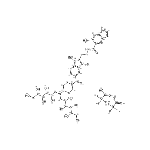 CCn1c(CCNC(=O)c2nc3cc[nH]c3nc2N)[n+](CC)c2ccc(C(=O)N3CCC(N(CC(O)C(O)C(O)C(O)CO)CC(O)C(O)C(O)C(O)CO)CC3)cc21.O=C(O)C(F)(F)F.O=C([O-])C(F)(F)F